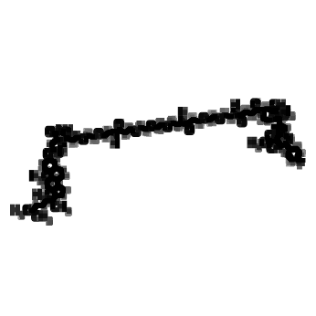 CC(C)CCC[C@H](C)C1CCC2C3CCC4C[C@@H](OC(=O)CC(NC(=O)CCOCCOCCNC(=O)CCOCCOCCOCCNC(=O)CCOCCOCCNC(=O)CCC(=O)N5CCN(C(=O)c6cn7nc(-c8ccc(F)cc8)cc(C(C)(C)C)c7n6)C(C)(C)C5)C(N)=O)CC[C@]4(C)C3CCC21C